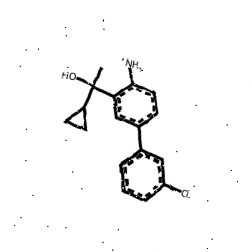 CC(O)(c1cc(-c2cccc(Cl)c2)ccc1N)C1CC1